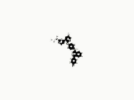 CNc1nccc(-c2cc(Cl)cnc2Oc2ccc(Nc3nnc(-c4ccc(F)cc4)c4ccccc34)cc2)n1